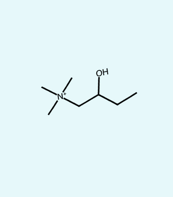 CCC(O)C[N+](C)(C)C